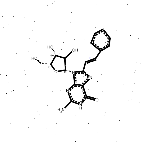 Nc1nc2c(nc(/C=C/c3ccccc3)n2[C@@H]2O[C@H](CO)[C@H](O)C2O)c(=O)[nH]1